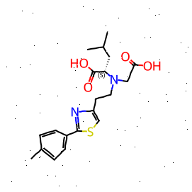 Cc1ccc(-c2nc(CCN(CC(=O)O)[C@@H](CC(C)C)C(=O)O)cs2)cc1